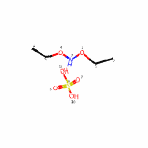 CCONOCC.O=S(=O)(O)O